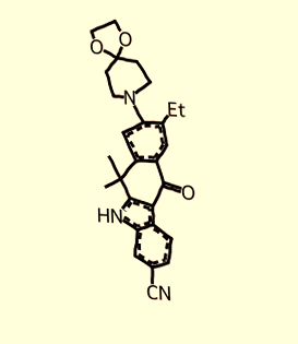 CCc1cc2c(cc1N1CCC3(CC1)OCCO3)C(C)(C)c1[nH]c3cc(C#N)ccc3c1C2=O